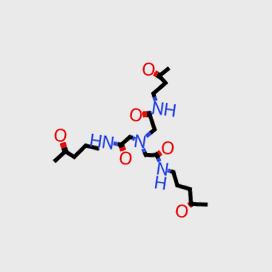 CC(=O)CCCNC(=O)CN(CC(=O)NCCCC(C)=O)CC(=O)NCCC(C)=O